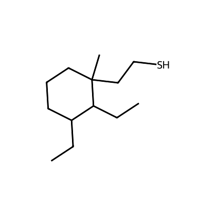 CCC1CCCC(C)(CCS)C1CC